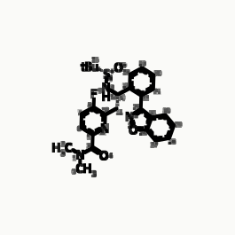 CN(C)C(=O)c1ccc(F)c(C[C@H](N[S@@+]([O-])C(C)(C)C)c2ccccc2-c2noc3ccccc23)n1